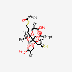 CCCCCCCC(=O)OCC(CC)(C(CCCS)(OCC(CC)C(O)O)O[SiH2]C)C(CCCSC(=O)CCCCCCC)(OCC(CC)C(O)O)O[SiH2]CC